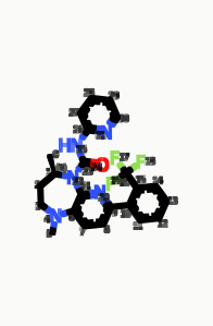 C[C@@H]1CCN(C)c2ccc(-c3ccccc3C(F)(F)F)nc2N1C(=O)Nc1ccccn1